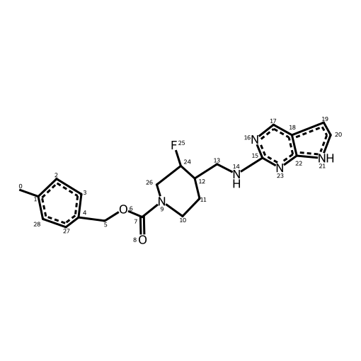 Cc1ccc(COC(=O)N2CCC(CNc3ncc4cc[nH]c4n3)C(F)C2)cc1